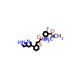 CN(C)C(=O)c1cc(NC(=O)c2cc3c(-c4cnc5[nH]ccc5c4)cccc3s2)ccc1F